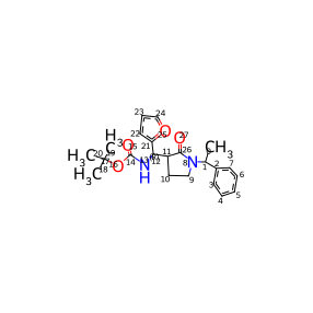 CC(c1ccccc1)N1CCC([C@@H](NC(=O)OC(C)(C)C)c2ccco2)C1=O